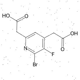 O=C(O)Cc1cc(CC(=O)O)c(F)c(Br)n1